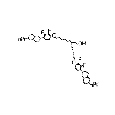 CCCC1CCC2CC(c3ccc(OCCCCCCC(CCO)CCCCCCOc4ccc(C5CCC6CC(CCC)CCC6C5)c(F)c4F)c(F)c3F)CCC2C1